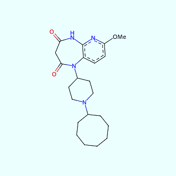 COc1ccc2c(n1)NC(=O)CC(=O)N2C1CCN(C2CCCCCCC2)CC1